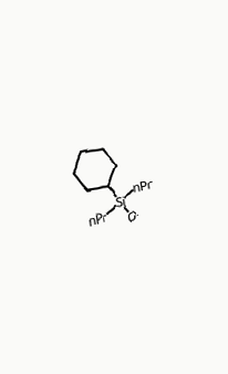 CCC[Si]([O])(CCC)C1CCCCC1